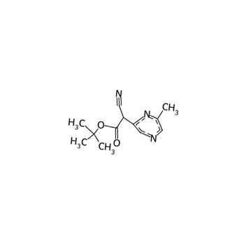 Cc1cncc(C(C#N)C(=O)OC(C)(C)C)n1